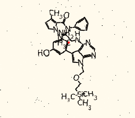 Cc1ccn2nc(C(C)Nc3ncnc4c3c(-c3cc(N)cc(O)c3)cn4COCC[Si](C)(C)C)n(-c3ccccc3)c(=O)c12